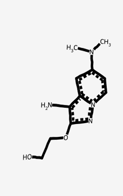 CN(C)c1ccn2nc(OCCO)c(N)c2c1